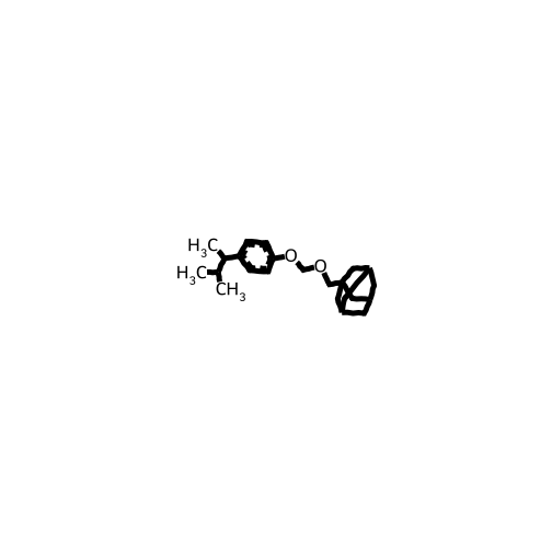 CC(C)C(C)c1ccc(OCOCC23CC4CC(CC(C4)C2)C3)cc1